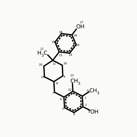 Cc1c(O)ccc(CC2CCC(C)(c3ccc(O)cc3)CC2)c1C